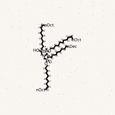 C=P(CN(CCO)CP(=O)(OCCCCCCCC/C=C\CCCCCCCC)OCCCCCCCCCCCCCCCCCC)(OCCCCCCCC/C=C\CCCCCCCC)OCCCCCCCC/C=C\CCCCCCCC